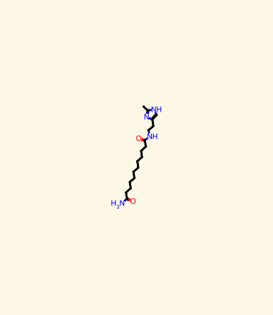 Cc1nc(CCNC(=O)CCCCCCCCCCC(N)=O)c[nH]1